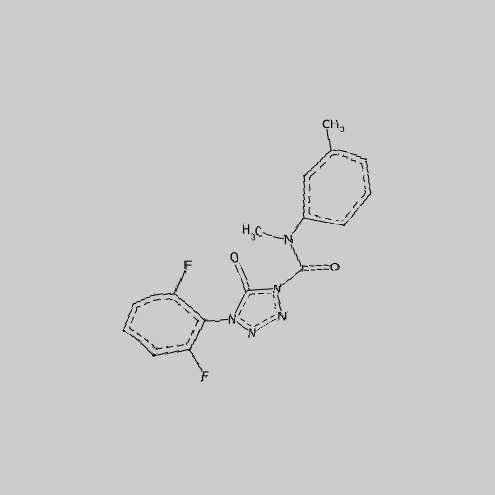 Cc1cccc(N(C)C(=O)n2nnn(-c3c(F)cccc3F)c2=O)c1